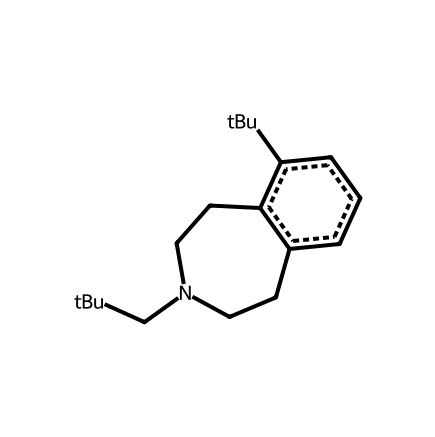 CC(C)(C)CN1CCc2cccc(C(C)(C)C)c2CC1